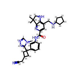 Cn1cnnc1C1(c2cccc(NC(=O)c3cc(CNC4CCCC4)c4c(n3)C(C)(C)CN4)c2)CC(CC#N)C1